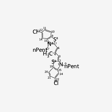 CCCCCN1/C(=C/C(C)=C/c2sc3ccc(Cl)cc3[n+]2CCCCC)Sc2ccc(Cl)cc21